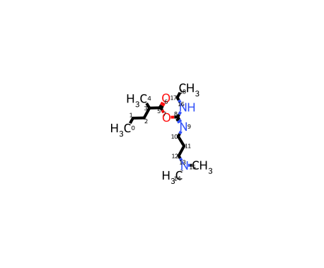 CCCC(C)C(=O)O/C(=N\CCCN(C)C)NCC